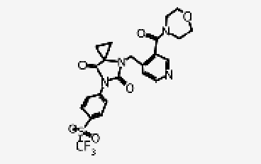 O=C(c1cnccc1CN1C(=O)N(c2ccc(S(=O)(=O)C(F)(F)F)cc2)C(=O)C12CC2)N1CCOCC1